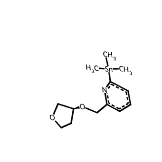 [CH3][Sn]([CH3])([CH3])[c]1cccc(CO[C@H]2CCOC2)n1